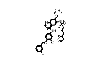 CCOc1cc2ncnc(Nc3ccc(OCc4cccc(F)c4)c(Cl)c3)c2cc1NS(=O)(=O)CCCC1CCSS1